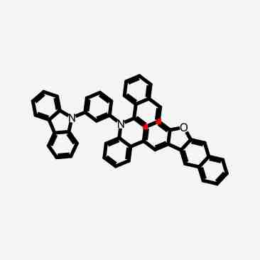 c1cc(N(c2ccccc2-c2ccc3oc4cc5ccccc5cc4c3c2)c2cccc3ccccc23)cc(-n2c3ccccc3c3ccccc32)c1